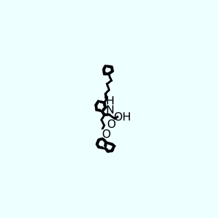 O=C(O)c1[nH]c2c(C=CCCCc3ccccc3)cccc2c1CCCOc1cccc2ccccc12